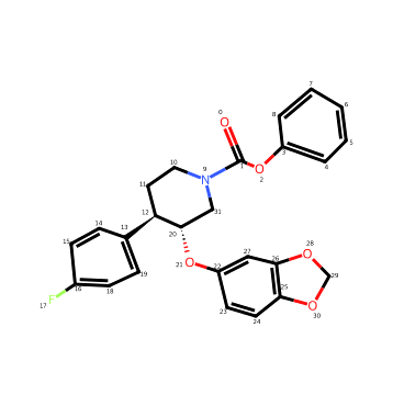 O=C(Oc1ccccc1)N1CC[C@H](c2ccc(F)cc2)[C@@H](Oc2ccc3c(c2)OCO3)C1